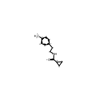 Cc1ccc(CCNC(=O)C2CC2)cc1